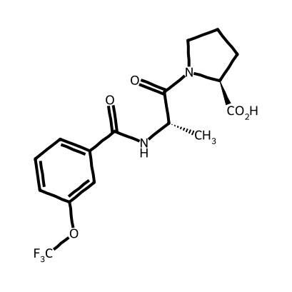 C[C@H](NC(=O)c1cccc(OC(F)(F)F)c1)C(=O)N1CCC[C@H]1C(=O)O